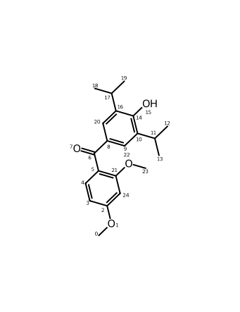 COc1ccc(C(=O)c2cc(C(C)C)c(O)c(C(C)C)c2)c(OC)c1